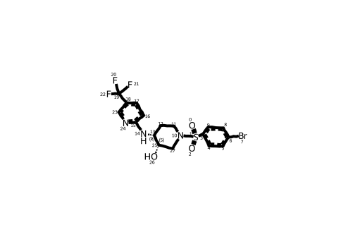 O=S(=O)(c1ccc(Br)cc1)N1CC[C@@H](Nc2ccc(C(F)(F)F)cn2)[C@@H](O)C1